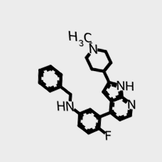 CN1CCC(c2cc3c(-c4cc(NCc5ccccc5)ccc4F)ccnc3[nH]2)CC1